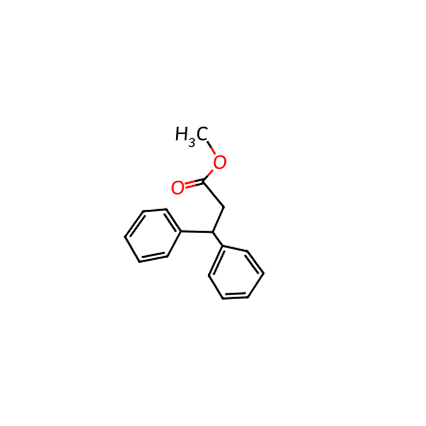 COC(=O)CC(c1ccccc1)c1ccccc1